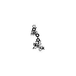 CCOC(=O)C1(NC(=O)c2c(C)cc(-c3cccc(NS(=O)(=O)c4cc(C)c(Cl)cc4C)c3)cc2C)CN(C(=O)OC(C)(C)C)C1